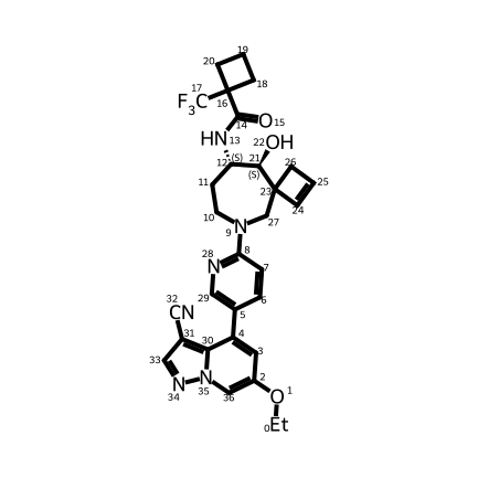 CCOc1cc(-c2ccc(N3CC[C@H](NC(=O)C4(C(F)(F)F)CCC4)[C@@H](O)C4(C=CC4)C3)nc2)c2c(C#N)cnn2c1